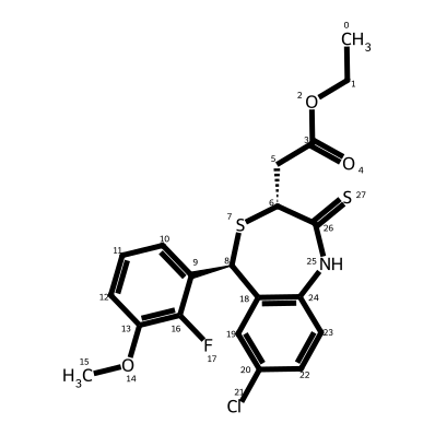 CCOC(=O)C[C@H]1S[C@H](c2cccc(OC)c2F)c2cc(Cl)ccc2NC1=S